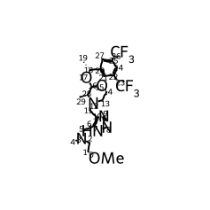 COCCN(C)Cc1[nH]nnc1CN1CCO[C@H](O[C@H](C)c2cc(C(F)(F)F)cc(C(F)(F)F)c2)[C@@H]1C